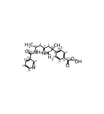 C[C@@H](CC(=N)CC(C)(C)c1ccc(C(=O)OO)cc1)NC(=O)c1cccnc1